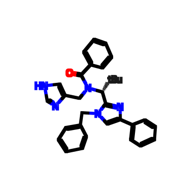 CC(C)(C)[C@H](c1nc(-c2ccccc2)cn1Cc1ccccc1)N(Cc1c[nH]cn1)C(=O)c1ccccc1